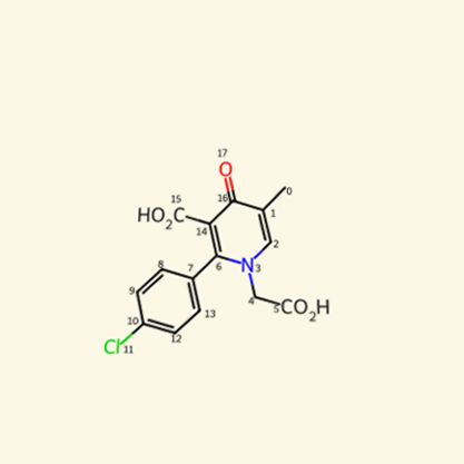 Cc1cn(CC(=O)O)c(-c2ccc(Cl)cc2)c(C(=O)O)c1=O